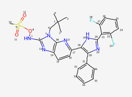 CC(C)(C)Cn1c(NOS(C)(=O)=O)nc2ccc(-c3[nH]c(-c4c(F)cccc4F)nc3-c3ccccc3)nc21